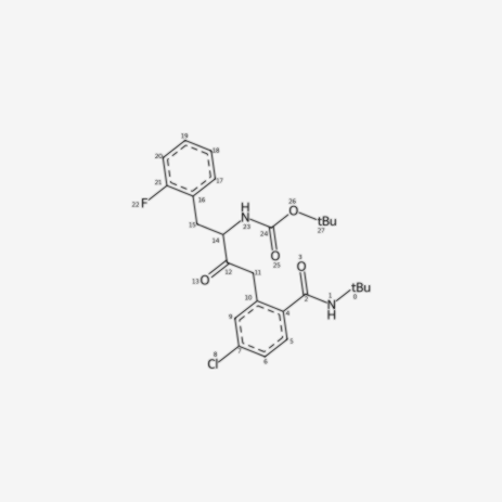 CC(C)(C)NC(=O)c1ccc(Cl)cc1CC(=O)C(Cc1ccccc1F)NC(=O)OC(C)(C)C